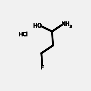 Cl.NC(O)CCF